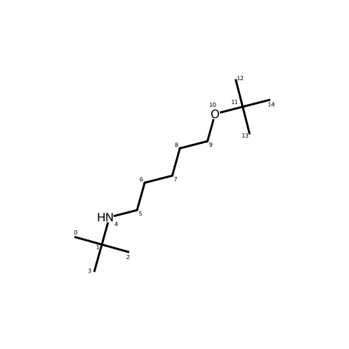 CC(C)(C)NCCCCCOC(C)(C)C